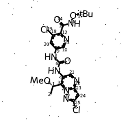 CO[C@@H](C)c1c(NC(=O)Nc2cnc(C(=O)NOC(C)(C)C)c(Cl)c2)cnc2cc(Cl)nn12